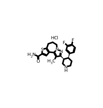 Cc1c([C@@H]2CNCC[C@@H]2c2ccc(F)c(F)c2)nn2c1-c1cc(C(N)=O)sc1CCC2.Cl